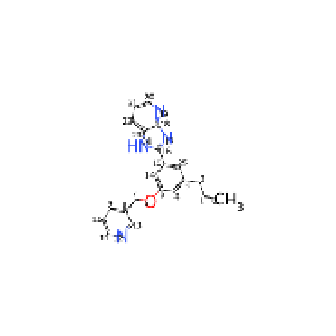 CCCc1cc(OCc2cccnc2)cc(-c2nc3ncccc3[nH]2)c1